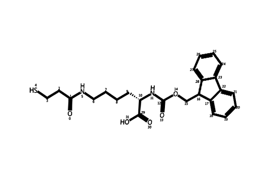 O=C(CCS)NCCCC[C@H](NC(=O)OCC1c2ccccc2-c2ccccc21)C(=O)O